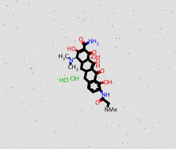 CNCC(=O)Nc1ccc2c(c1O)C(=O)C1=C(O)[C@]3(O)C(=O)C(C(N)=O)=C(O)[C@@H](N(C)C)C3CC1C2.Cl.Cl